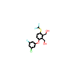 OCc1c(Oc2cc(F)cc(Cl)c2)ccc(SC(F)F)c1CO